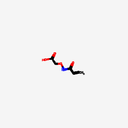 C=CC(=O)NOCC(=O)O